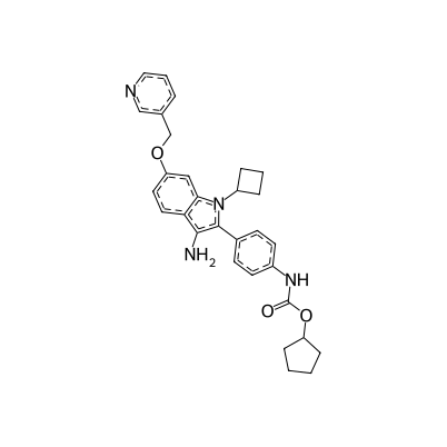 Nc1c(-c2ccc(NC(=O)OC3CCCC3)cc2)n(C2CCC2)c2cc(OCc3cccnc3)ccc12